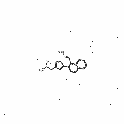 CCCCN=Cc1c(C2=CC(CN(C)C)=CC2)ccc2ccccc12